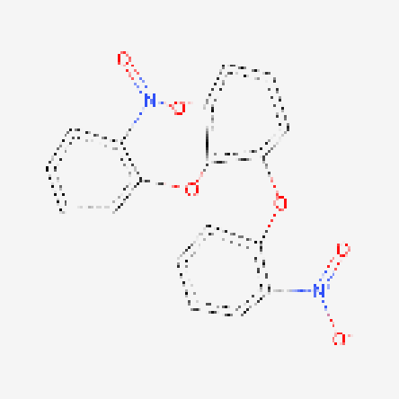 O=[N+]([O-])c1ccccc1Oc1ccccc1Oc1ccccc1[N+](=O)[O-]